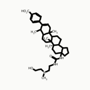 CC1C(c2ccc(C(=O)O)cc2)=CCC2(C)C1CCC1(C)C2CCC2C3CCCC3(NC(=O)NCCN(C)CCO)CC[C@]21C